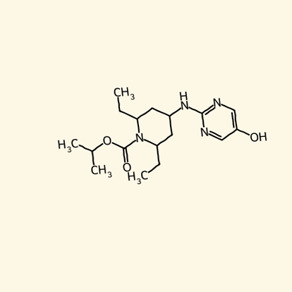 CCC1CC(Nc2ncc(O)cn2)CC(CC)N1C(=O)OC(C)C